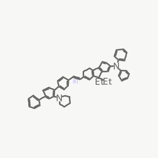 CCC1(CC)C2=C(CCC(/C=C/c3ccc(-c4ccc(-c5ccccc5)cc4N4CCCCC4)cc3)=C2)c2ccc(N(c3ccccc3)c3ccccc3)cc21